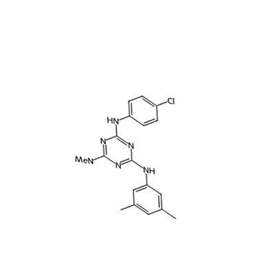 CNc1nc(Nc2ccc(Cl)cc2)nc(Nc2cc(C)cc(C)c2)n1